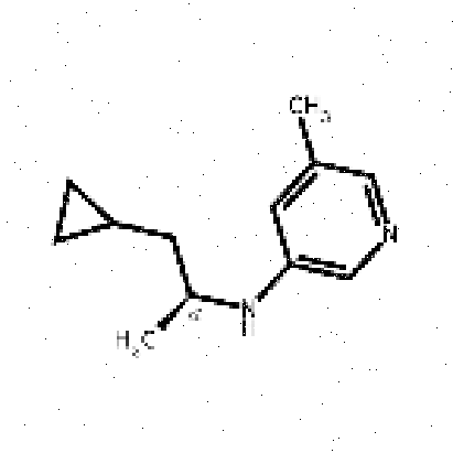 Cc1cncc(N[C@@H](C)CC2CC2)c1